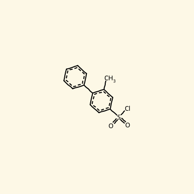 Cc1cc(S(=O)(=O)Cl)ccc1-c1ccccc1